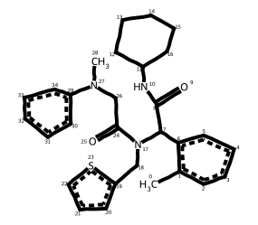 Cc1ccccc1C(C(=O)NC1CCCCC1)N(Cc1cccs1)C(=O)CN(C)c1ccccc1